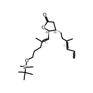 C=C/C=C(\C)CC[C@H]1CC(=O)O[C@@H]1/C=C(\C)CCCO[Si](C)(C)C(C)(C)C